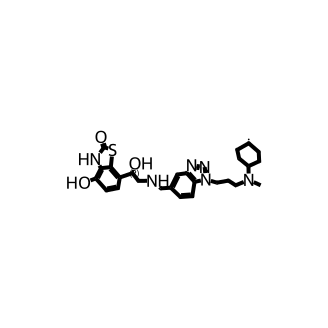 CN(CCCn1nnc2cc(CNC[C@H](O)c3ccc(O)c4[nH]c(=O)sc34)ccc21)C1CC[CH]CC1